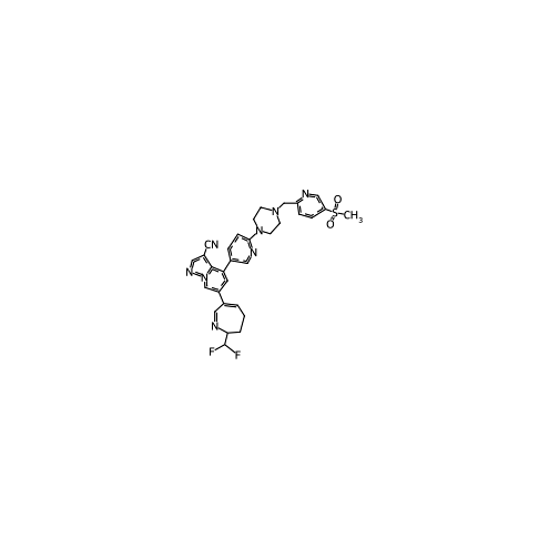 CS(=O)(=O)c1ccc(CN2CCN(c3ccc(-c4cc(C5=CCCC(C(F)F)N=C5)cn5ncc(C#N)c45)cn3)CC2)nc1